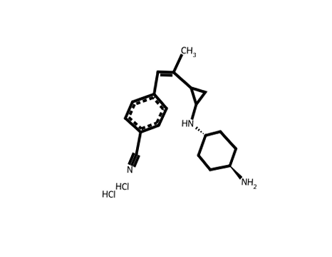 CC(=Cc1ccc(C#N)cc1)C1CC1N[C@H]1CC[C@H](N)CC1.Cl.Cl